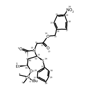 CC[C@H](O[Si](C)(C)C(C)(C)C)[C@@H]1C(=O)N(CC(=O)OCc2ccc([N+](=O)[O-])cc2)[C@H]1Sc1ccccc1